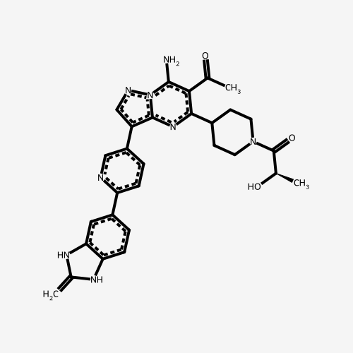 C=C1Nc2ccc(-c3ccc(-c4cnn5c(N)c(C(C)=O)c(C6CCN(C(=O)[C@@H](C)O)CC6)nc45)cn3)cc2N1